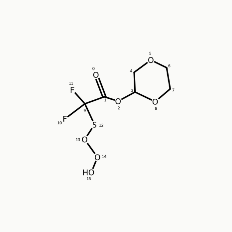 O=C(OC1COCCO1)C(F)(F)SOOO